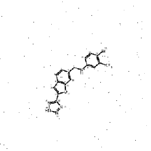 FC(F)(F)c1cc(NCc2ccc3cc(-c4nn[nH]n4)oc3c2)ccc1Br